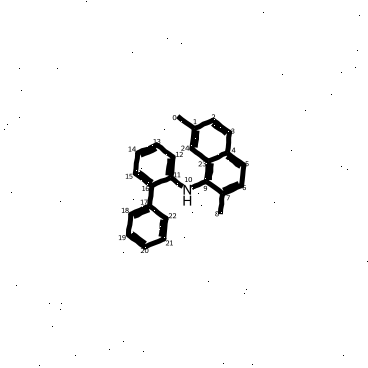 Cc1ccc2ccc(C)c(Nc3ccccc3-c3ccccc3)c2c1